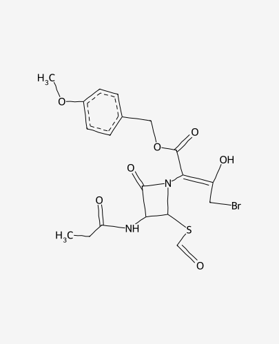 CCC(=O)NC1C(=O)N(C(C(=O)OCc2ccc(OC)cc2)=C(O)CBr)C1SC=O